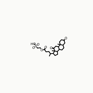 CC(CCC(=O)OCCS(=O)(=O)O)C1CCC2C3CCC4CC(=O)CCC4(C)C3CC(=O)C12C